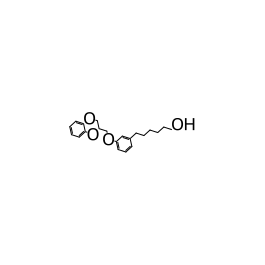 OCCCCCCc1cccc(OCC2COc3ccccc3O2)c1